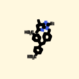 CCc1nc2c(C)cc(C)nc2n1Cc1ccc(C=C(c2ccc(C(=O)O)cc2)c2ccc(C(=O)O)cc2)cc1